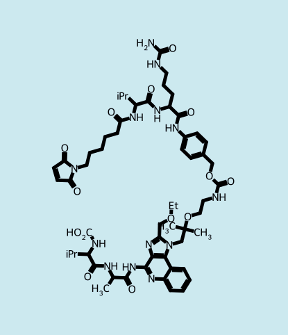 CCOCc1nc2c(NC(=O)C(C)NC(=O)C(NC(=O)O)C(C)C)nc3ccccc3c2n1CC(C)(C)OCCNC(=O)OCc1ccc(NC(=O)C(CCCNC(N)=O)NC(=O)C(NC(=O)CCCCCN2C(=O)C=CC2=O)C(C)C)cc1